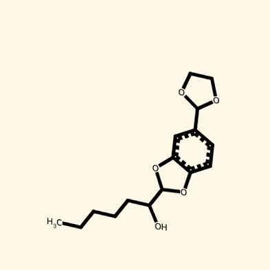 CCCCCC(O)C1Oc2ccc(C3OCCO3)cc2O1